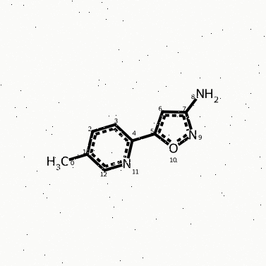 Cc1ccc(-c2cc(N)no2)nc1